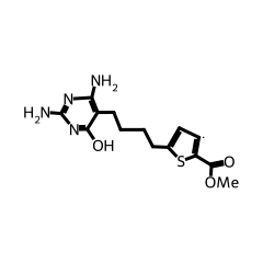 COC(=O)c1[c]cc(CCCCc2c(N)nc(N)nc2O)s1